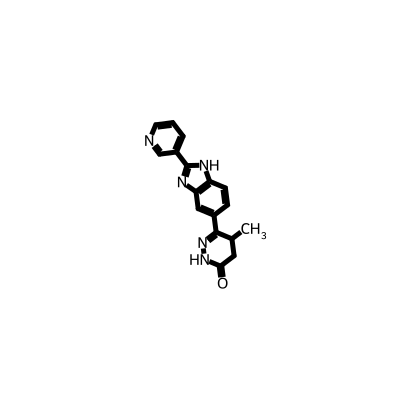 CC1CC(=O)NN=C1c1ccc2[nH]c(-c3cccnc3)nc2c1